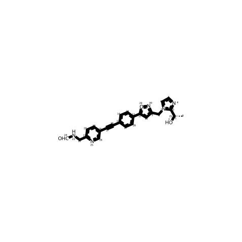 C[C@H](O)c1nccn1Cc1cc(-c2ccc(C#Cc3ccc(CNC=O)nc3)cc2)on1